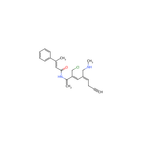 C#CC/C=C(\C=C(/CCl)C(=C)NC(=O)/C=C(\C)c1ccccc1)CNC